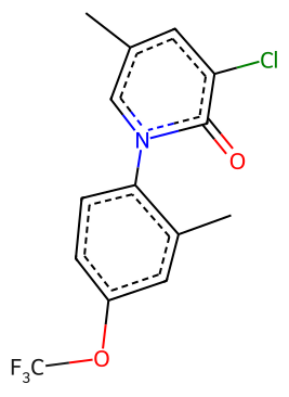 Cc1cc(Cl)c(=O)n(-c2ccc(OC(F)(F)F)cc2C)c1